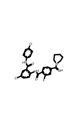 N=C(c1ccc(C(=O)Nc2ccc(Cl)cc2C(=O)Nc2ccc(Cl)cc2)c(F)c1)N1CCCCC1